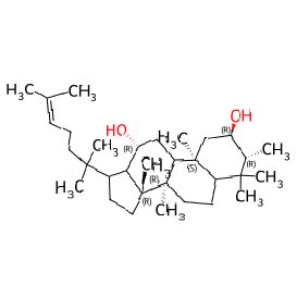 CC(C)=CCCC(C)(C)C1CC[C@]2(C)C1[C@H](O)CC1[C@@]3(C)C[C@@H](O)[C@H](C)C(C)(C)C3CC[C@]12C